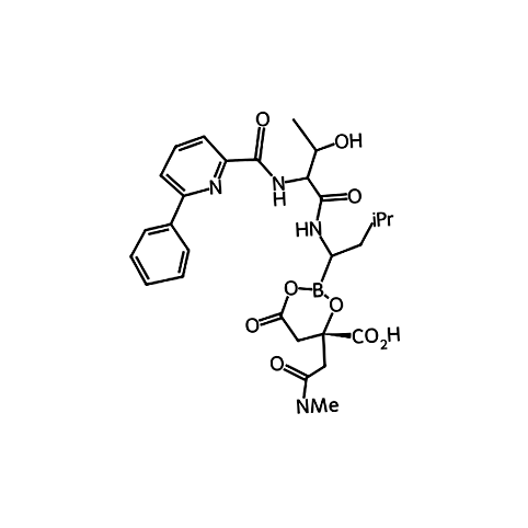 CNC(=O)C[C@]1(C(=O)O)CC(=O)OB(C(CC(C)C)NC(=O)C(NC(=O)c2cccc(-c3ccccc3)n2)C(C)O)O1